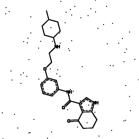 CC1CCC(NCCOc2cccc(NC(=O)c3c[nH]c4c3C(=O)CCC4)c2)CC1